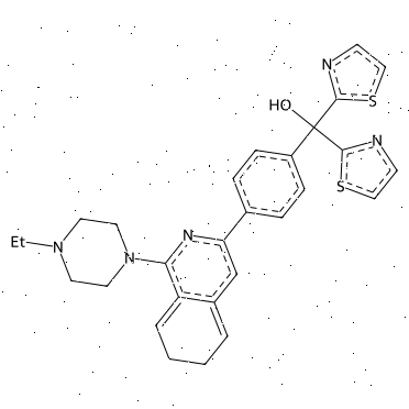 CCN1CCN(c2nc(-c3ccc(C(O)(c4nccs4)c4nccs4)cc3)cc3c2=CCCC=3)CC1